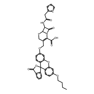 CCCCOc1ccc2c(c1)Oc1cc(OCC3=C(C(=O)O)N4C(=O)C(NC(=O)Cc5cccs5)C4SC3)ccc1C21OC(=O)c2ccccc21